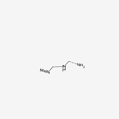 CNCNCN